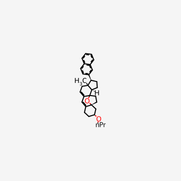 CCCO[C@H]1CCC2=CC3=CC[C@]4(C)[C@@H](c5ccc6ccccc6c5)CC[C@H]4C34CC[C@]2(C1)O4